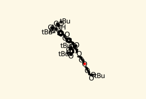 CC(C)(C)OC(=O)CCOCCOCCOCCOCCN(C(=O)OCc1ccc(OC(=O)c2ccc(NC(=NC(=O)OC(C)(C)C)NC(=O)OC(C)(C)C)cc2)cc1)C(CC(=O)OC(C)(C)C)C(=O)OC(C)(C)C